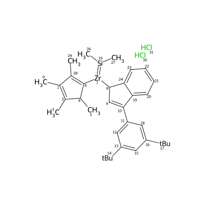 CC1=C(C)C(C)[C]([Zr]([CH]2C=C(c3cc(C(C)(C)C)cc(C(C)(C)C)c3)c3ccccc32)=[Si](C)C)=C1C.Cl.Cl